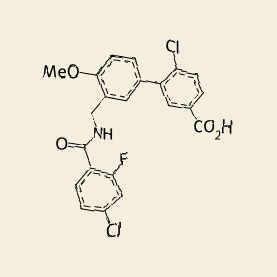 COc1ccc(-c2cc(C(=O)O)ccc2Cl)cc1CNC(=O)c1ccc(Cl)cc1F